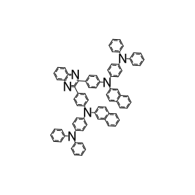 c1ccc(N(c2ccccc2)c2ccc(N(c3ccc(-c4nc5ccccc5nc4-c4ccc(N(c5ccc(N(c6ccccc6)c6ccccc6)cc5)c5ccc6ccccc6c5)cc4)cc3)c3ccc4ccccc4c3)cc2)cc1